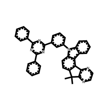 CC1(C)c2ccc3c(c2-c2nccnc21)c1ccccc1n3-c1cccc(-c2nc(-c3ccccc3)nc(-c3ccccc3)n2)c1